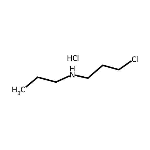 CCCNCCCCl.Cl